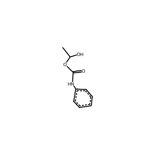 CC(O)OC(=O)Nc1ccccc1